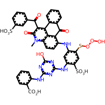 Cn1c(=O)c(C(=O)c2cccc(S(=O)(=O)O)c2)c2c3c(c(Nc4cc(Nc5nc(O)nc(Nc6ccccc6C(=O)O)n5)c(S(=O)(=O)O)cc4SOOO)ccc31)C(=O)c1ccccc1-2